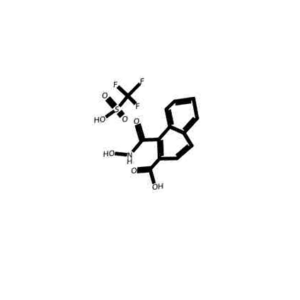 O=C(O)c1ccc2ccccc2c1C(=O)NO.O=S(=O)(O)C(F)(F)F